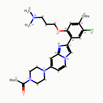 COC(=O)N1CCN(c2ccn3cc(-c4cc(Cl)c(OC)cc4OCCCN(C)C)nc3c2)CC1